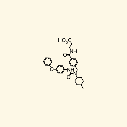 CC1CCC(N(Cc2ccc(C(=O)NCCC(=O)O)cc2)C(=O)Nc2ccc(Oc3ccccc3)cc2)CC1